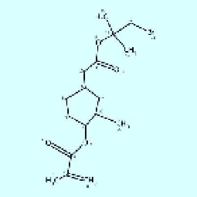 C=C(C)C(=O)OC1CCC(CC(=O)OC(C)(C)CBr)CC1C